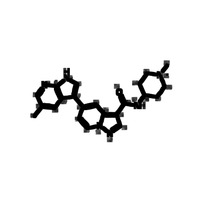 Cc1cnc2[nH]cc(-c3ccn4ncc(C(=O)NC5CCN(C)CC5)c4c3)c2c1